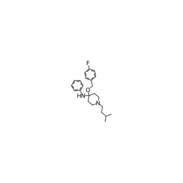 CC(C)CCN1CCC(Nc2ccccc2)(OCc2ccc(F)cc2)CC1